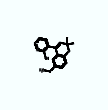 CC1(C)C=C(c2ccnnc2O)c2cc(SC(F)(F)F)ccc2O1